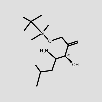 C=C(CO[Si](C)(C)C(C)(C)C)[C@@H](O)C(N)CC(C)C